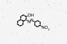 O=[N+]([O-])c1ccc(/N=N/c2c(O)ccc3ccccc23)cc1